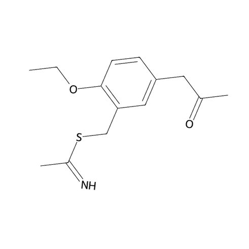 CCOc1ccc(CC(C)=O)cc1CSC(C)=N